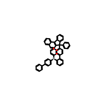 c1ccc(-c2ccc(N(c3ccccc3)c3ccccc3-c3ccc(C4(c5ccccc5)c5ccccc5-c5c4ccc4ccccc54)cc3)cc2)cc1